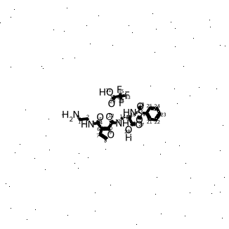 NCCNC(=O)c1ccoc1C(=O)NC[C@H](NS(=O)(=O)c1ccccc1)C(=O)O.O=C(O)C(F)(F)F